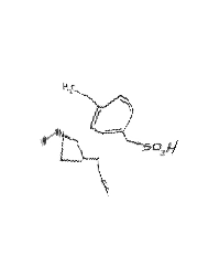 Cc1ccc(S(=O)(=O)O)cc1.FCC1CNC1